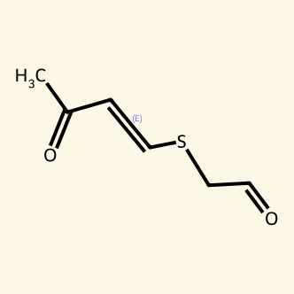 CC(=O)/C=C/SCC=O